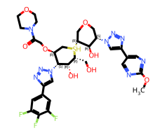 COc1ncc(-c2cn([C@H]3COC[C@@H]([SH]4C[C@H](OCC(=O)N5CCOCC5)[C@@H](n5cc(-c6cc(F)c(F)c(F)c6)nn5)[C@@H](O)[C@H]4CO)[C@@H]3O)nn2)cn1